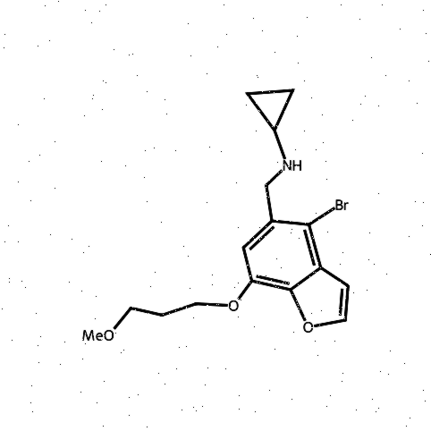 COCCCOc1cc(CNC2CC2)c(Br)c2ccoc12